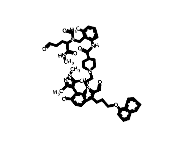 CNC(=O)C(CCC=O)N(C=O)Cc1c(C)cccc1NC(=O)C1CCN(CCn2c(C=O)c(CCCOc3cccc4ccccc34)c3ccc(Cl)c(-c4c(C)nn(C)c4C)c32)CC1